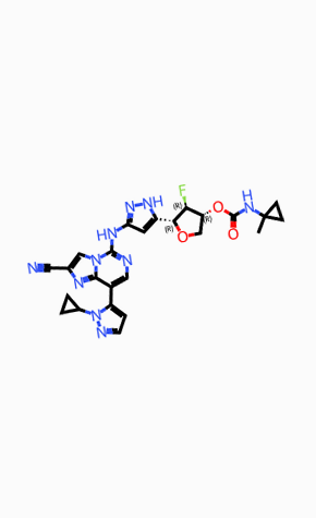 CC1(NC(=O)O[C@@H]2CO[C@H](c3cc(Nc4ncc(-c5ccnn5C5CC5)c5nc(C#N)cn45)n[nH]3)[C@H]2F)CC1